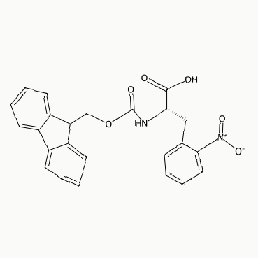 O=C(N[C@@H](Cc1ccccc1[N+](=O)[O-])C(=O)O)OCC1c2ccccc2-c2ccccc21